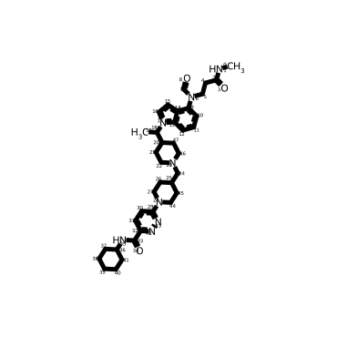 CNC(=O)CCN(C=O)c1cccc2c1ccn2C(C)C1CCN(CC2CCN(c3ccc(C(=O)NC4CCCCC4)nn3)CC2)CC1